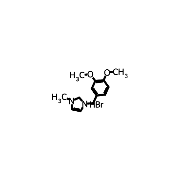 Br.COc1ccc(CN2C=CN(C)C2)cc1OC